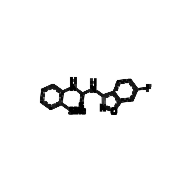 CSc1ccccc1NC(=S)Nc1noc2cc(F)ccc12